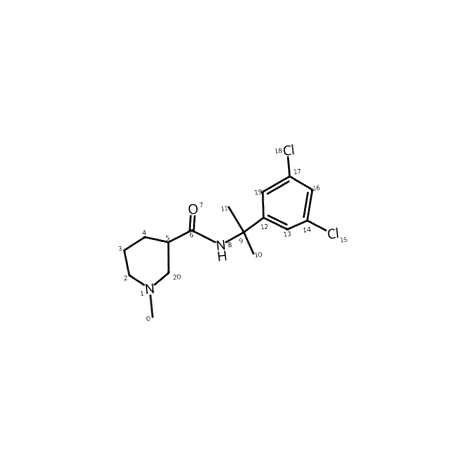 CN1CCCC(C(=O)NC(C)(C)c2cc(Cl)cc(Cl)c2)C1